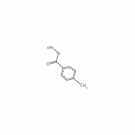 CCC[N]C(=O)c1ccc(C)cc1